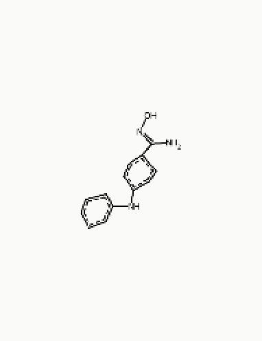 NC(=NO)c1ccc(Nc2ccccc2)cc1